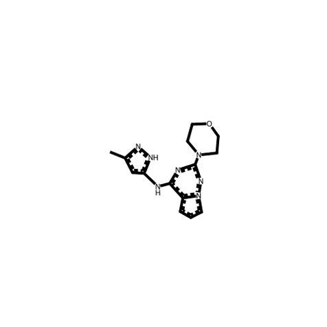 Cc1cc(Nc2nc(N3CCOCC3)nn3cccc23)[nH]n1